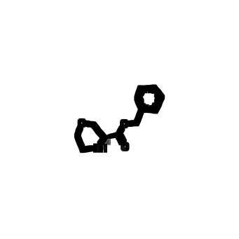 O=C(OCc1ccccc1)[C@@H]1COCCN1